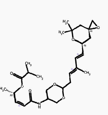 CC(/C=C/[C@@H]1C[C@]2(CO2)CC(C)(C)O1)=C\CC1OCC(NC(=O)/C=C\[C@H](C)OC(=O)C(C)C)CO1